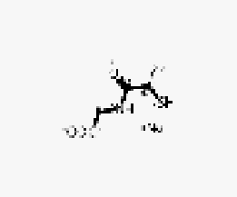 C[C@H](S)C(=O)NCC(=O)[O-].[Na+]